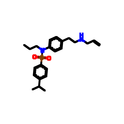 C=CCNCCc1ccc(N(CCC)S(=O)(=O)c2ccc(C(C)C)cc2)cc1